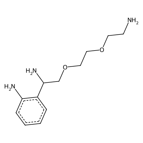 NCCOCCOCC(N)c1ccccc1N